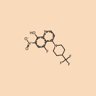 O=[N+]([O-])c1cc(F)c2c(N3CCC(C(F)(F)F)CC3)ccnc2c1O